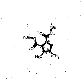 CCCCOC(=O)[C@@H]1[C@H](C)[C@H](C)CN1C(=O)OC(C)(C)C